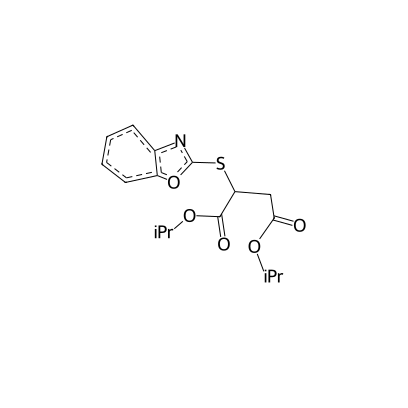 CC(C)OC(=O)CC(Sc1nc2ccccc2o1)C(=O)OC(C)C